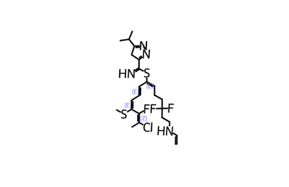 C=CNCCC(F)(F)CC\C=C(/C=C/C=C(SC)\C(F)=C(/C)Cl)SC(=N)C1=NN=C(C(C)C)C1